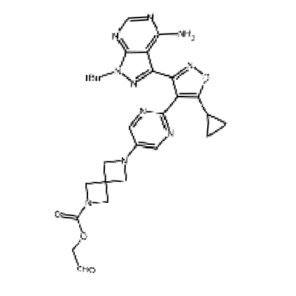 CC(C)(C)n1nc(-c2noc(C3CC3)c2-c2ncc(N3CC4(CN(C(=O)OCC=O)C4)C3)cn2)c2c(N)ncnc21